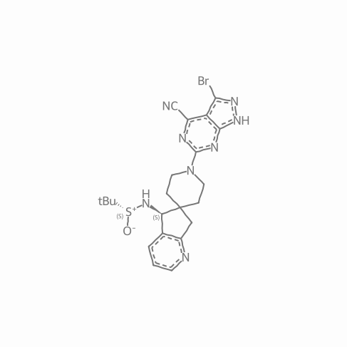 CC(C)(C)[S@@+]([O-])N[C@@H]1c2cccnc2CC12CCN(c1nc(C#N)c3c(Br)n[nH]c3n1)CC2